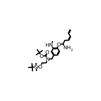 C=C/C=C\CC(N)Oc1ccc(CN(CCO[Si](C)(C)C(C)(C)C)C(=O)OC(C)(C)C)cc1NC